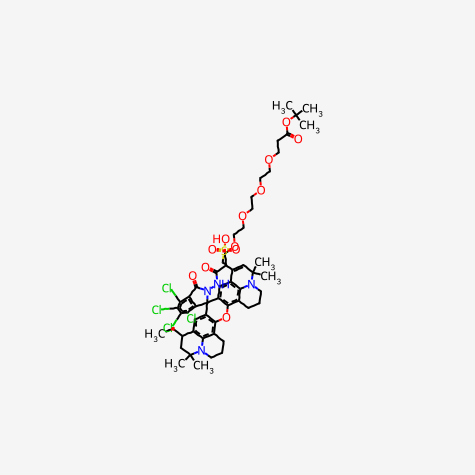 CCC1CC(C)(C)N2CCCc3c4c(cc1c32)C1(c2cc3c5c(c2O4)CCCN5C(C)(C)C=C3CS(=O)(=O)O)c2c(Cl)c(Cl)c(Cl)c(Cl)c2C(=O)N1NC(=O)CCOCCOCCOCCOCCC(=O)OC(C)(C)C